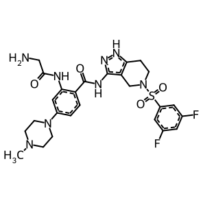 CN1CCN(c2ccc(C(=O)Nc3n[nH]c4c3CN(S(=O)(=O)c3cc(F)cc(F)c3)CC4)c(NC(=O)CN)c2)CC1